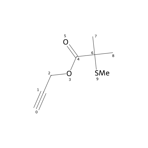 C#CCOC(=O)C(C)(C)SC